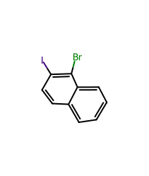 Brc1c(I)ccc2ccccc12